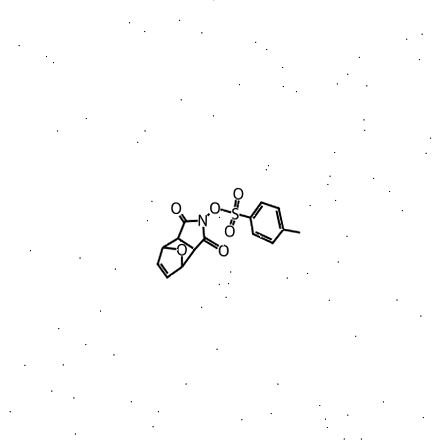 Cc1ccc(S(=O)(=O)ON2C(=O)C3C4C=CC(O4)C3C2=O)cc1